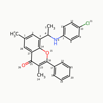 Cc1cc(C(C)Nc2ccc(Cl)cc2)c2oc(-c3ccccc3)c(C)c(=O)c2c1